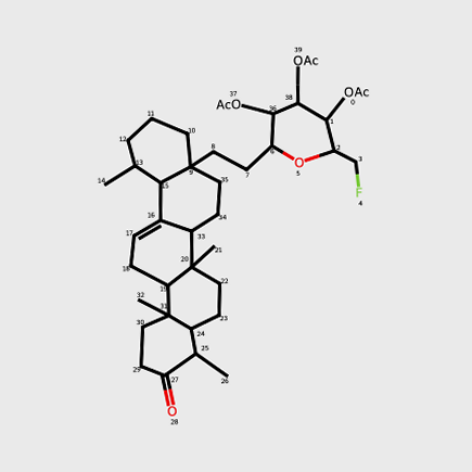 CC(=O)OC1C(CF)OC(CCC23CCCC(C)C2C2=CCC4C(C)(CCC5C(C)C(=O)CCC54C)C2CC3)C(OC(C)=O)C1OC(C)=O